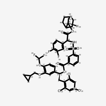 O=C(O[C@@H](Cc1c(Cl)c[n+]([O-])cc1Cl)c1ccc(OC(F)F)c(OCC2CC2)c1)c1cccc(S(=O)(=O)NC(C(=O)O[C@H]2CN3CCC2CC3)c2ccc(F)c(F)c2)c1